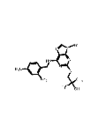 Cc1ccc(CNc2nc(NCC(C)(C)O)nc3c2ncn3C(C)C)c(N)c1